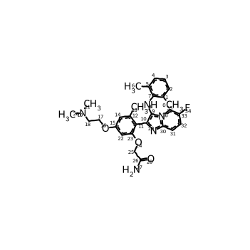 Cc1cccc(C)c1Nc1c(-c2c(C)cc(OCCN(C)C)cc2OCC(N)=O)nc2ccc(F)cn12